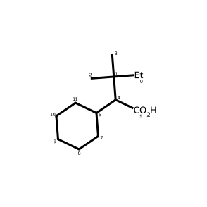 CCC(C)(C)C(C(=O)O)C1CCCCC1